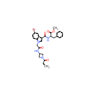 C=CC(=O)N1CC(NC(=O)Cn2cc(C(=O)NC(Cc3ccccc3)C(=O)OC)c3cc(Br)ccc32)C1